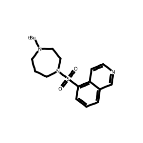 CC(C)(C)N1CCCN(S(=O)(=O)c2cccc3cnccc23)CC1